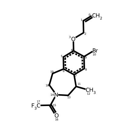 C=CCOc1cc2c(cc1Br)C(C)CN(C(=O)C(F)(F)F)CC2